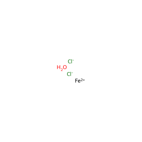 O.[Cl-].[Cl-].[Fe+2]